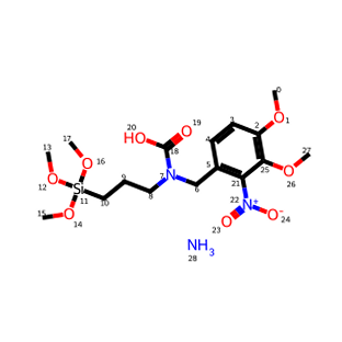 COc1ccc(CN(CCC[Si](OC)(OC)OC)C(=O)O)c([N+](=O)[O-])c1OC.N